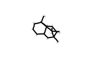 CC12CCC3C(CCCC3(C)C1(C)C)C2